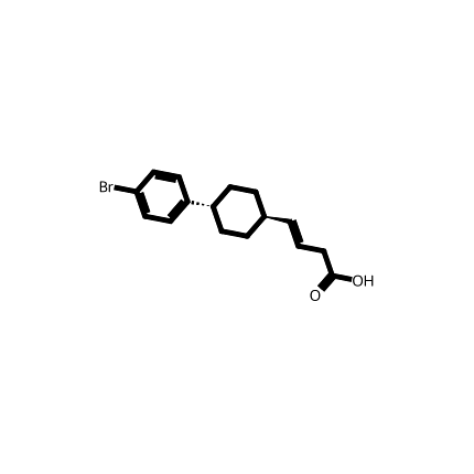 O=C(O)CC=C[C@H]1CC[C@H](c2ccc(Br)cc2)CC1